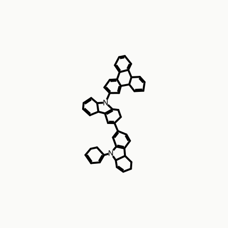 C1=CCCC(N2c3cc(C4=CC5=C(CC4)N(c4ccc6c(c4)C4C=CC=CC4c4ccccc4-6)C4C=CC=CC54)ccc3C3CCC=CC32)=C1